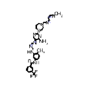 C=N/C=C\C=N/CN1CCCN(C2=NC/C(=N\C=N/CNc3cc(NC(=O)c4cccc(C(F)(F)F)c4)ccc3C)C(N)=N2)CC1